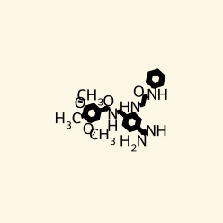 COc1cc(C(=O)NCc2ccc(C(=N)N)cc2NCC(=O)Nc2ccccc2)cc(OC)c1C